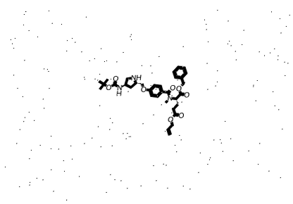 C=CCOC(=O)CC[C@@H](C(=O)OCc1ccccc1)N(C)C(=O)c1ccc(OC[C@@H]2C[C@@H](NC(=O)OC(C)(C)C)CN2)cc1